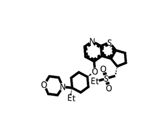 CCS(=O)(=O)C[C@H]1CCc2sc3nccc(O[C@H]4CC[C@](CC)(N5CCOCC5)CC4)c3c21